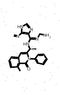 C=Nc1[nH]cnc1/C(=N\CN)N[C@@H](C)c1cc2cccc(C)c2c(=O)n1-c1ccccc1